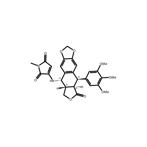 COc1cc([C@@H]2c3cc4c(cc3[C@@H](NC3=CC(=O)N(C)C3=O)[C@H]3COC(=O)[C@H]23)OCO4)cc(OC)c1OC